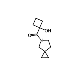 O=C(N1CCC2(CC2)C1)C1(O)CCC1